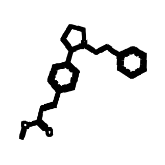 COC(=O)C=Cc1ccc(C2CCCN2CCc2ccccc2)cc1